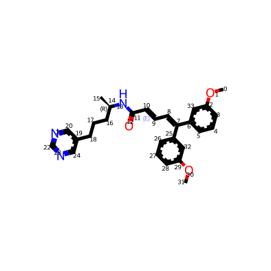 COc1cccc(C(=C/C=C/C(=O)N[C@H](C)CCCc2cncnc2)c2cccc(OC)c2)c1